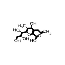 C=CCC1=C(C(=O)O)O[C@@H]([C@H](O)[C@H](O)CO)[C@H](C)[C@H]1O